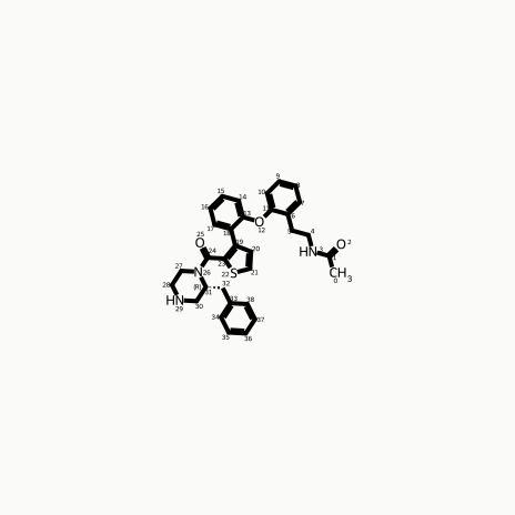 CC(=O)NCCc1ccccc1Oc1ccccc1-c1ccsc1C(=O)N1CCNC[C@H]1Cc1ccccc1